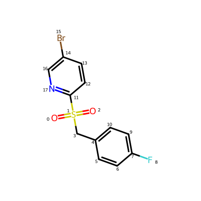 O=S(=O)(Cc1ccc(F)cc1)c1ccc(Br)cn1